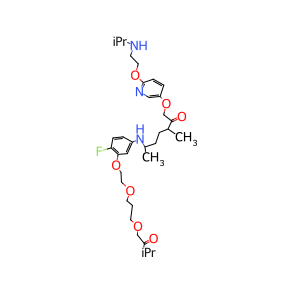 CC(C)NCCOc1ccc(OCC(=O)C(C)CCC(C)Nc2ccc(F)c(OCCOCCCOCC(=O)C(C)C)c2)cn1